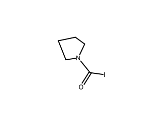 O=C(I)N1CCCC1